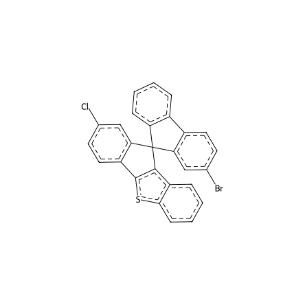 Clc1ccc2c(c1)C1(c3ccccc3-c3ccc(Br)cc31)c1c-2sc2ccccc12